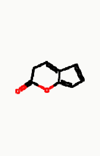 O=C1CC=C2C=CC=C2O1